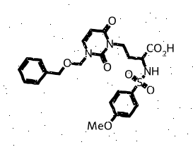 COc1ccc(S(=O)(=O)NC(CCn2c(=O)ccn(COCc3ccccc3)c2=O)C(=O)O)cc1